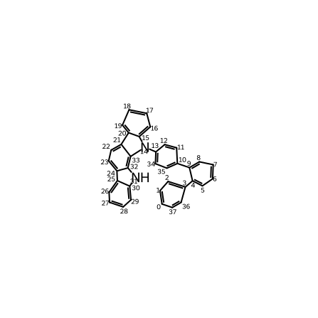 c1ccc(-c2ccccc2-c2ccc(-n3c4ccccc4c4ccc5c6ccccc6[nH]c5c43)cc2)cc1